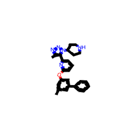 Cc1cc(Oc2cccc(-c3c(C)nnn3C3CCNCC3)n2)cc(-c2ccccc2)c1